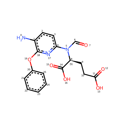 Nc1ccc(N(C=O)[C@@H](CCC(=O)O)C(=O)O)nc1Oc1ccccc1